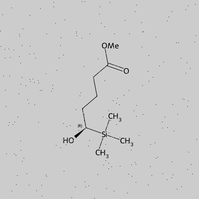 COC(=O)CCC[C@H](O)[Si](C)(C)C